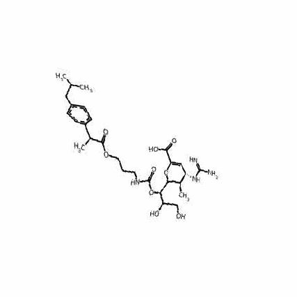 CC(C)Cc1ccc([C@H](C)C(=O)OCCCNC(=O)O[C@@H](C2OC(C(=O)O)=C[C@H](NC(=N)N)[C@H]2C)[C@H](O)CO)cc1